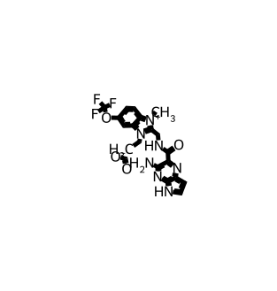 CCn1c(CNC(=O)c2nc3cc[nH]c3nc2N)[n+](C)c2ccc(OC(F)(F)F)cc21.O=C[O-]